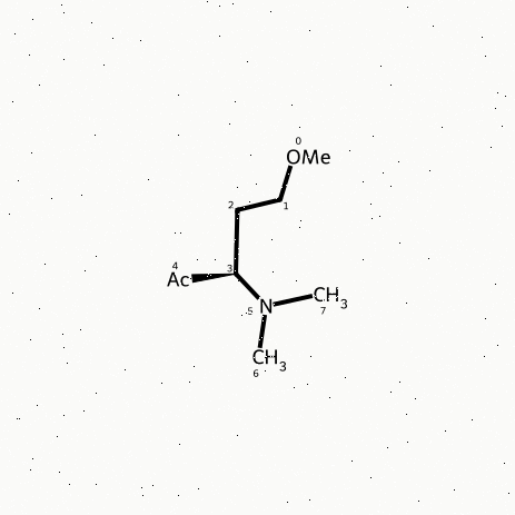 COCC[C@H](C(C)=O)N(C)C